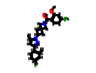 COc1cc(F)ccc1C(=O)N1CC2(CC(n3nc(-c4ccc(F)cc4C)cc3C)C2)C1